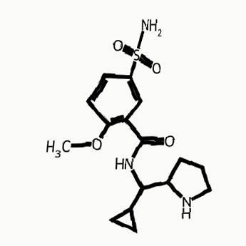 COc1ccc(S(N)(=O)=O)cc1C(=O)NC(C1CC1)C1CCCN1